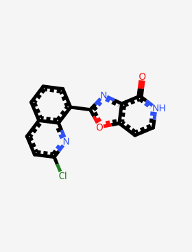 O=c1[nH]ccc2oc(-c3cccc4ccc(Cl)nc34)nc12